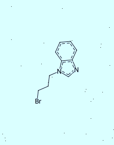 BrCCCn1cnc2ccccc21